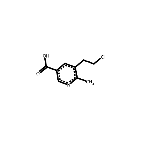 Cc1ncc(C(=O)O)cc1CCCl